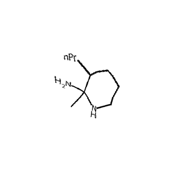 CCCC1CCCNC1(C)N